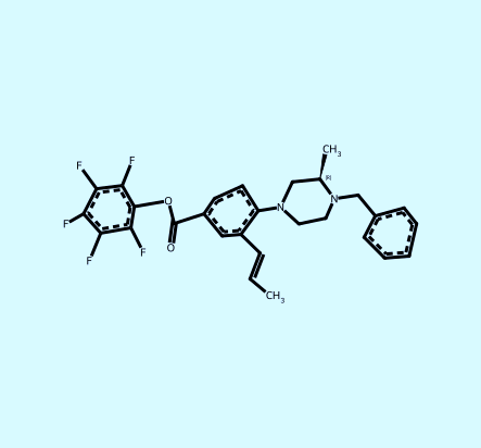 CC=Cc1cc(C(=O)Oc2c(F)c(F)c(F)c(F)c2F)ccc1N1CCN(Cc2ccccc2)[C@H](C)C1